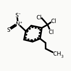 CCCc1ccc([N+](=S)[S-])cc1C(Cl)(Cl)Cl